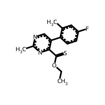 CCOC(=S)c1nc(C)ncc1-c1ccc(F)cc1C